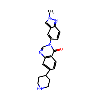 Cn1cc2cc(-n3cnc4cc(C5CCNCC5)ccc4c3=O)ccc2n1